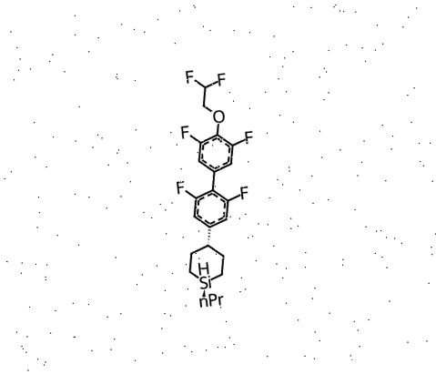 CCC[Si@H]1CC[C@H](c2cc(F)c(-c3cc(F)c(OCC(F)F)c(F)c3)c(F)c2)CC1